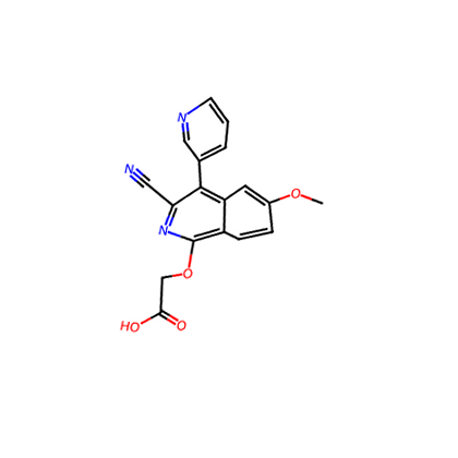 COc1ccc2c(OCC(=O)O)nc(C#N)c(-c3cccnc3)c2c1